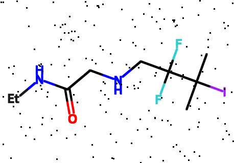 CCNC(=O)CNCC(F)(F)C(C)(C)I